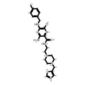 Nc1nc(NCc2ccc(I)cc2)c(Cl)nc1C(=O)NCCN1CCN(Cc2cnco2)CC1